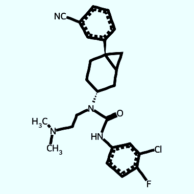 CN(C)CCN(C(=O)Nc1ccc(F)c(Cl)c1)[C@@H]1CC[C@]2(c3cccc(C#N)c3)CC2C1